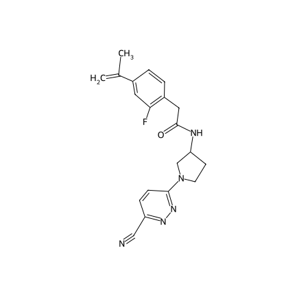 C=C(C)c1ccc(CC(=O)NC2CCN(c3ccc(C#N)nn3)C2)c(F)c1